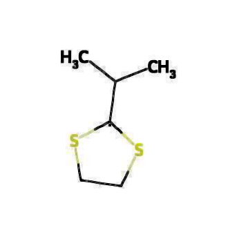 CC(C)[C]1SCCS1